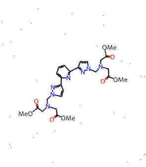 COC(=O)CN(CC(=O)OC)Cn1ccc(-c2cccc(-c3ccn(CN(CC(=O)OC)CC(=O)OC)n3)n2)n1